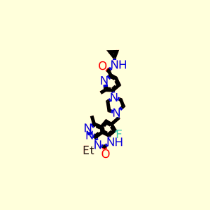 CCN1C(=O)Nc2c(F)c(CN3CCN(c4ccc(C(=O)NC5CC5)nc4C)CC3)cc3c(C)nnc1c23